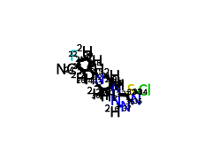 [2H]c1nc(N([2H])C2([2H])C([2H])([2H])CN(C([2H])([2H])c3c([2H])c([2H])c(F)c(C#N)c3[2H])CC2([2H])[2H])c2sc(Cl)nc2n1